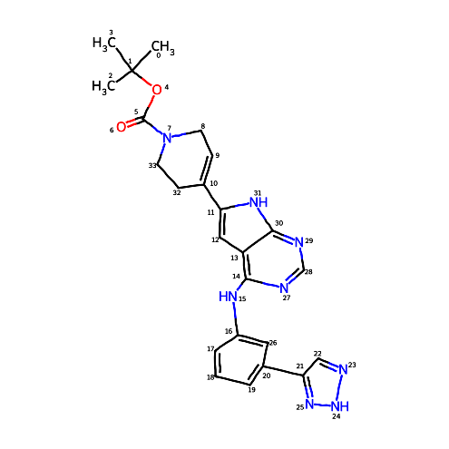 CC(C)(C)OC(=O)N1CC=C(c2cc3c(Nc4cccc(-c5cn[nH]n5)c4)ncnc3[nH]2)CC1